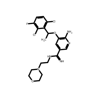 CC(Oc1cc(C(=N)NCCN2CCOCC2)cnc1N)c1c(Cl)ccc(F)c1Cl